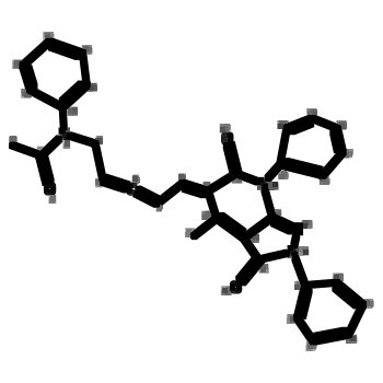 CC(=O)N(CC=C=C/C=c1\c(C)c2c(n(-c3ccccc3)c1=O)=NN(c1ccccc1)C2=O)c1ccccc1